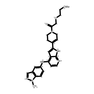 COCCOCC(=O)N1CC=C(c2cc3c(Nc4ccc5c(cnn5C)c4)ccnc3[nH]2)CC1